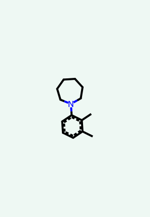 Cc1cccc(N2CCCCCC2)c1C